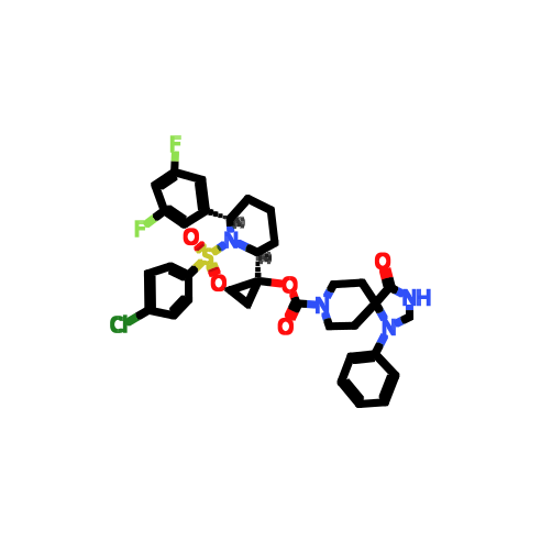 O=C(OC1([C@H]2CCC[C@@H](c3cc(F)cc(F)c3)N2S(=O)(=O)c2ccc(Cl)cc2)CC1)N1CCC2(CC1)C(=O)NCN2c1ccccc1